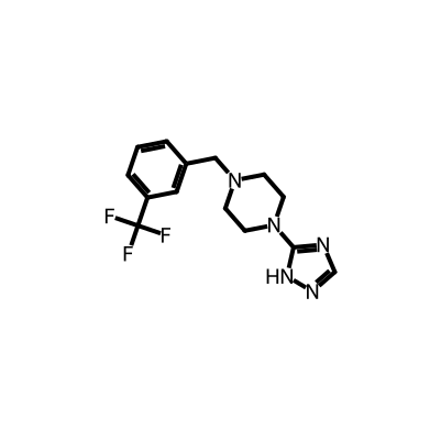 FC(F)(F)c1cccc(CN2CCN(c3ncn[nH]3)CC2)c1